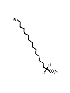 CC(C)(C)CCCCCCCCCCCCCCC(Cl)(Cl)C(=O)O